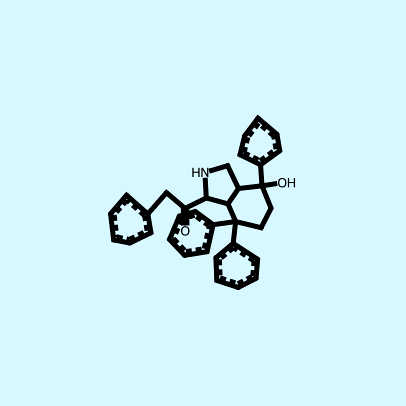 O=C(Cc1ccccc1)C1NCC2C1C(c1ccccc1)(c1ccccc1)CCC2(O)c1ccccc1